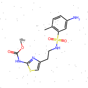 Cc1ccc(N)cc1S(=O)(=O)NCCc1csc(NC(=O)OC(C)(C)C)n1